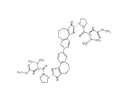 COC(=O)N[C@H](C(=O)N1CCC[C@H]1c1nc2c([nH]1)CCCc1cc(-c3ccc4c(c3)CCCc3[nH]c([C@@H]5CCCN5C(=O)[C@@H](NC(=O)OC)C(C)C)nc3-4)ccc1-2)C(C)C